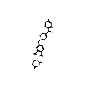 O=C1CCN(N2C(=O)c3ccc(CN4CC=C(c5n[nH]c6cc(F)ccc56)CC4)cc3C2=O)C(=O)N1